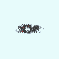 CCn1c(-c2cccnc2[C@H](C)OC)c2c3cc(ccc31)-c1csc(n1)C[C@H](NC(=O)[C@H](C(C)C)N(C)C(=O)N1CC[C@@]3(CCN(C)C3=O)C1)C(=O)N1CCCC(C=O)(COCC(C)(C)C2)N1